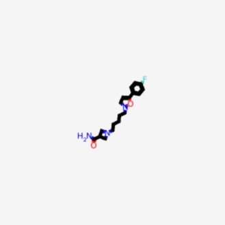 NC(=O)C1CN(CCCCCN2CC=C(c3ccc(F)cc3)O2)C1